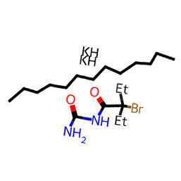 CCC(Br)(CC)C(=O)NC(N)=O.CCCCCCCCCCCCC.[KH].[KH]